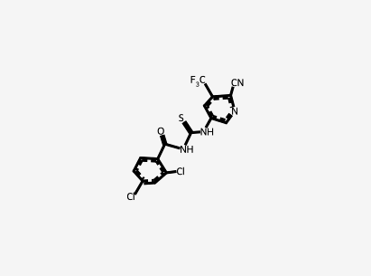 N#Cc1ncc(NC(=S)NC(=O)c2ccc(Cl)cc2Cl)cc1C(F)(F)F